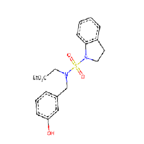 CCOC(=O)CN(Cc1cccc(O)c1)S(=O)(=O)N1CCc2ccccc21